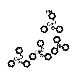 P.c1cc[c]([Ni]([c]2ccccc2)[c]2ccccc2)cc1.c1ccc(OP(Oc2ccccc2)Oc2ccccc2)cc1.c1ccc(OP(Oc2ccccc2)Oc2ccccc2)cc1.c1ccc(OP(Oc2ccccc2)Oc2ccccc2)cc1